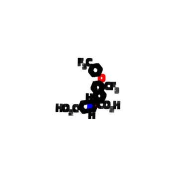 O=C(O)C1C[C@H]2CC(C(=O)O)C[C@H](C1)N2Cc1ccc2c(C(F)(F)F)c(O[C@H]3CC[C@@H](C(F)(F)F)CC3)ccc2c1